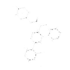 O=C(NC12CCC(C(=O)O)(CC1)CC2)C(Cc1ccccc1)c1ccc(-c2c(F)ccc(Cl)c2F)cn1